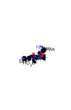 CCc1nccc(-c2ccc3c(c2)cc(C(=O)N2CCc4nn(-c5cc(C)cc(C)c5)c(-n5ccn(-c6ccc(NC)c(C=N)c6)c5=O)c4C2)n3CCC(C)(C)C(=O)O)c1C